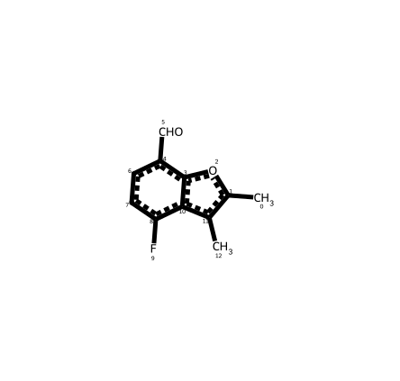 Cc1oc2c(C=O)ccc(F)c2c1C